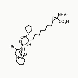 CC(=O)N[C@]1(C(=O)O)CC1CCCCCCC[C@H](NC(=O)NC(CN1CCCCS1(=O)=O)C(C)(C)C)C(=O)N1CCCC1